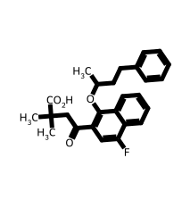 CC(CCc1ccccc1)Oc1c(C(=O)CC(C)(C)C(=O)O)cc(F)c2ccccc12